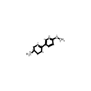 COc1ccc(C2=NCC(C)CC2)cn1